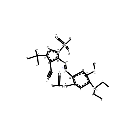 CCN(CC)c1cc(NC(C)=O)c(/N=N/c2c(C#N)c(C(C)(C)C)nn2S(C)(=O)=O)cc1OC